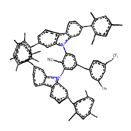 Cc1cc(C)c(-c2ccc3c4ccc(-c5c(C)cc(C)cc5C)cc4n(-c4cc(-c5cc(C#N)cc(C(F)(F)F)c5)cc(-n5c6cc(-c7c(C)cc(C)cc7C)ccc6c6ccc(-c7c(C)cc(C)cc7C)cc65)c4C#N)c3c2)c(C)c1